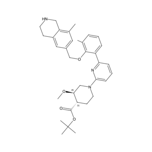 CO[C@H]1CN(c2cccc(-c3cccc(C)c3OCc3cc(C)c4c(c3)CCNC4)n2)CC[C@@H]1C(=O)OC(C)(C)C